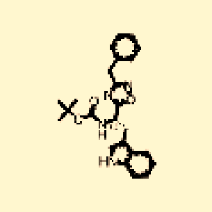 CC(C)(C)OC(=O)N[C@@H](Cc1c[nH]c2ccccc12)c1nc(Cc2ccccc2)no1